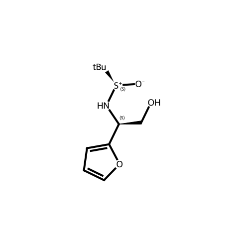 CC(C)(C)[S@@+]([O-])N[C@@H](CO)c1ccco1